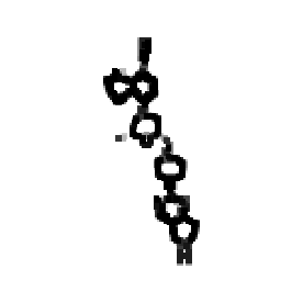 C[C@@H]1CN(c2ccc(C#N)c3ncccc23)C[C@H](CN2CCN(c3ncc4c(n3)CCNC4)CC2)O1